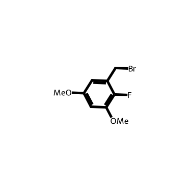 COc1cc(CBr)c(F)c(OC)c1